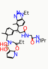 CC[C@@H]1CN(Cc2cc([C@H](CC(=O)NCC(=O)NC(C)C)c3ccc4c(nnn4CC)c3C)ccc2C)S(O)(O)c2cccnc2O1